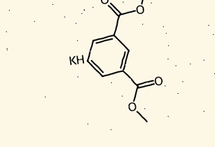 COC(=O)c1cccc(C(=O)OC)c1.[KH]